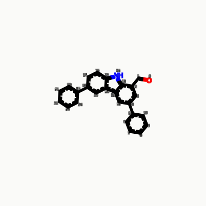 O=Cc1cc(-c2ccccc2)cc2c1[nH]c1ccc(-c3ccccc3)cc12